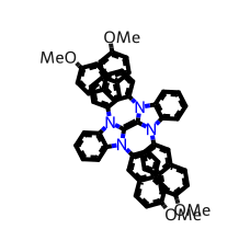 COc1ccc2cc(N3C(=C4N(c5ccc6cc(OC)ccc6c5)c5ccccc5N4c4ccc5cc(OC)ccc5c4)N(c4ccc5cc(OC)ccc5c4)c4ccccc43)ccc2c1